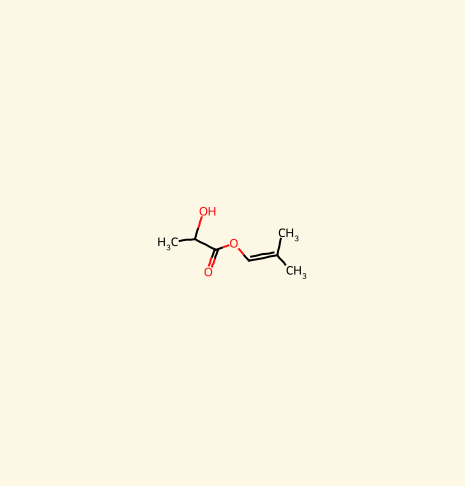 CC(C)=COC(=O)C(C)O